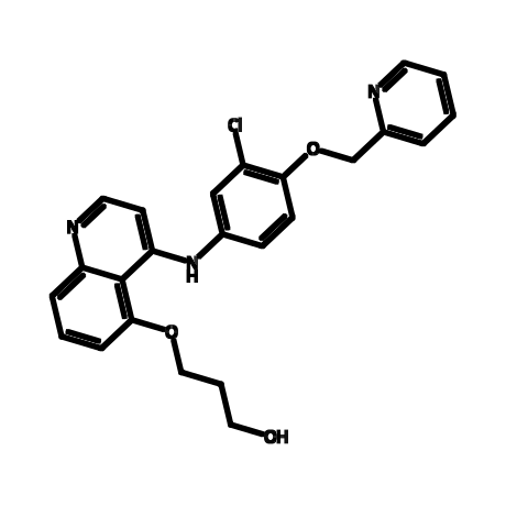 OCCCOc1cccc2nccc(Nc3ccc(OCc4ccccn4)c(Cl)c3)c12